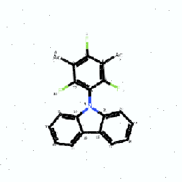 CC(=O)c1c(F)c(C(C)=O)c(F)c(-n2c3ccccc3c3ccccc32)c1F